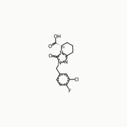 O=C(O)[C@@H]1CCCc2nn(Cc3ccc(F)c(Cl)c3)c(=O)n21